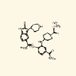 COC(=O)c1ccc([N+](=O)[O-])c(NC2CCN(C(=O)OC(C)(C)C)CC2)c1.COC(=O)c1ccc2[nH]c(=O)n(C3CCNCC3)c2c1.Cl